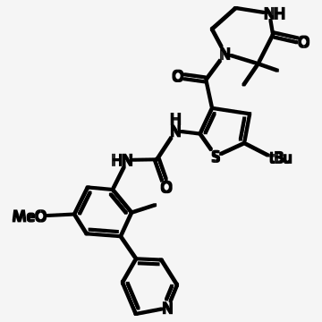 COc1cc(NC(=O)Nc2sc(C(C)(C)C)cc2C(=O)N2CCNC(=O)C2(C)C)c(C)c(-c2ccncc2)c1